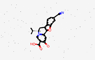 CC(C)[C@@H]1Cc2c(oc3cc(C#N)ccc23)-c2cc(=O)c(C(=O)O)cn21